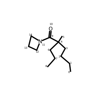 CCCCC(C)(CCC)C(=O)N1CCC1